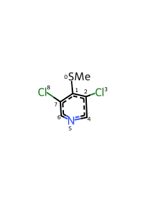 CSc1c(Cl)cncc1Cl